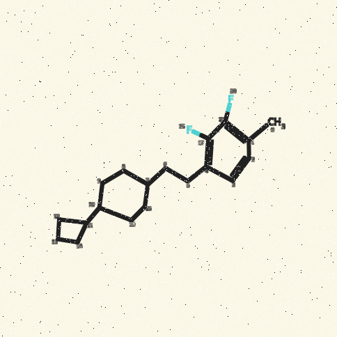 Cc1ccc(CCC2CCC(C3CCC3)CC2)c(F)c1F